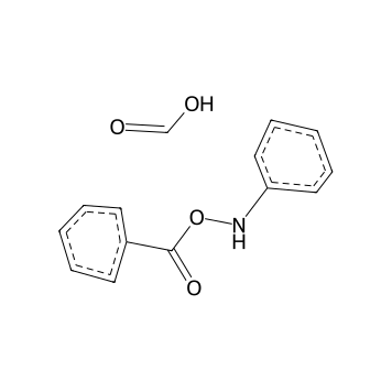 O=C(ONc1ccccc1)c1ccccc1.O=CO